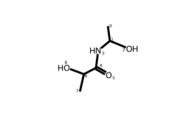 CC(O)NC(=O)C(C)O